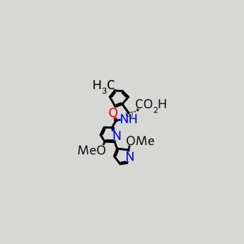 COc1ccc(C(=O)N[C@@H](CC(=O)O)c2ccc(C)cc2)nc1-c1cccnc1OC